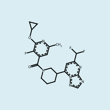 Cc1cc(C(=O)N2CCCC(c3cc(C(F)F)nc4ncnn34)C2)c(F)c(OC2CC2)n1